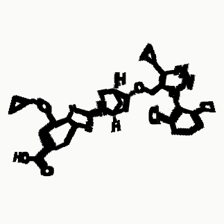 O=C(O)c1cc(OC2CC2)c2nc(N3C[C@@H]4C[C@H]3C[C@H]4OCc3c(C4CC4)nnn3-c3c(Cl)cccc3Cl)sc2c1